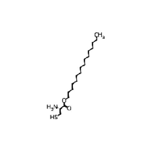 CCCCCCCCCCCCCCCCOC(=O)[C@@H](N)CS